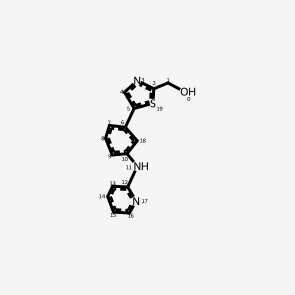 OCc1ncc(-c2cccc(Nc3ccccn3)c2)s1